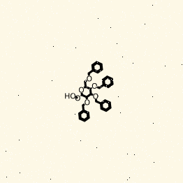 OO[C@@H]1OC(COCc2ccccc2)[C@@H](OCc2ccccc2)C(OCc2ccccc2)C1OCc1ccccc1